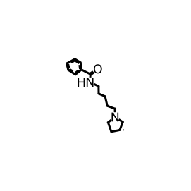 O=C(NCCCCCN1C[CH]CC1)c1ccccc1